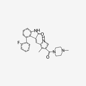 Cc1c(C(=O)N2CCN(C)CC2)c[nH]c1/C=C1\C(=O)Nc2cccc(-c3ccccc3F)c21